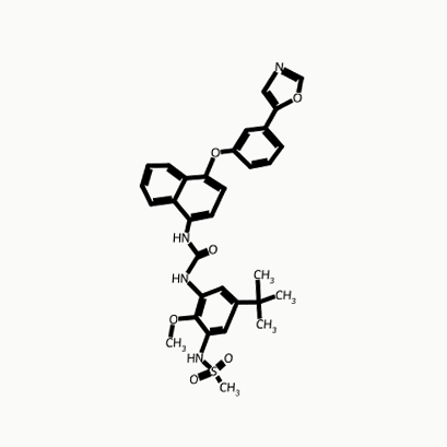 COc1c(NC(=O)Nc2ccc(Oc3cccc(-c4cnco4)c3)c3ccccc23)cc(C(C)(C)C)cc1NS(C)(=O)=O